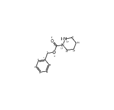 O=C(OCc1ccccc1)N1CCC[CH]N1